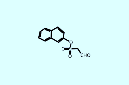 O=CCS(=O)(=O)Oc1ccc2ccccc2c1